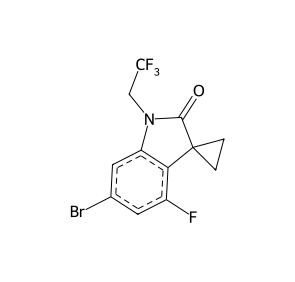 O=C1N(CC(F)(F)F)c2cc(Br)cc(F)c2C12CC2